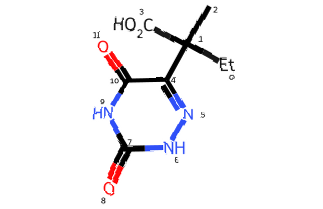 CCC(C)(C(=O)O)c1n[nH]c(=O)[nH]c1=O